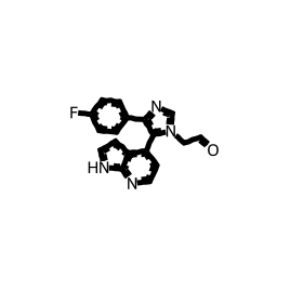 O=CCn1cnc(-c2ccc(F)cc2)c1-c1ccnc2[nH]ccc12